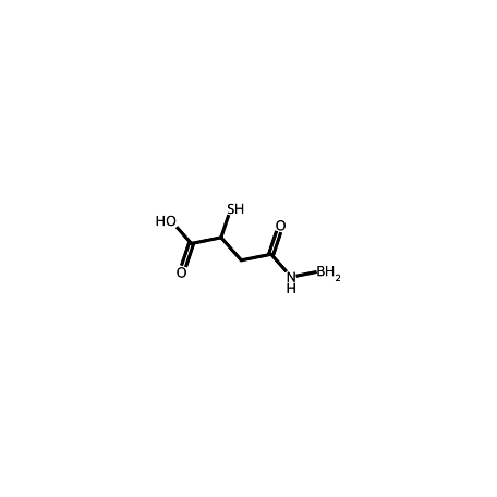 BNC(=O)CC(S)C(=O)O